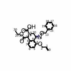 C=CCOc1cccc2c1/C(=N/OCc1ccccc1)CN(C(=O)O)C2C(=O)OCC